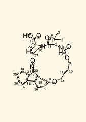 CC(C)(C)[C@@H]1NC(=O)OCC=CCOc2ccc3c(c2)C(=NO[C@@H]2C[C@@H](C(=O)O)N(C2)C1=O)c1ccccc1-3